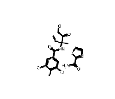 CCC(C)(NC(=O)c1cc(Cl)c(C)c(Cl)c1)C(=O)CCl.NC(=O)c1nccs1